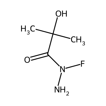 CC(C)(O)C(=O)N(N)F